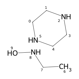 C1CNCCN1.CCNO